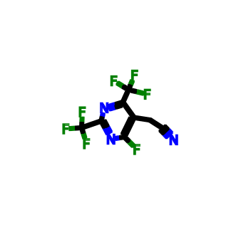 N#CCc1c(F)nc(C(F)(F)F)nc1C(F)(F)F